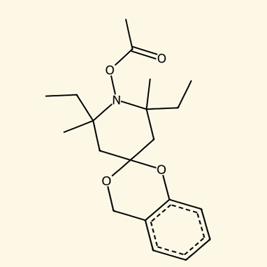 CCC1(C)CC2(CC(C)(CC)N1OC(C)=O)OCc1ccccc1O2